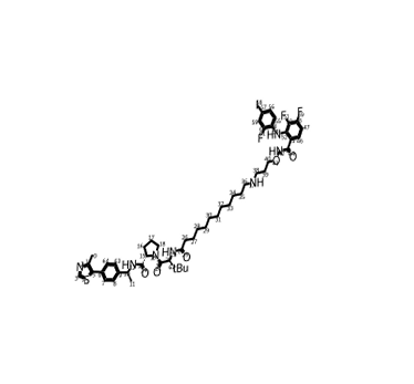 Cc1ncsc1-c1ccc([C@H](C)NC(=O)[C@@H]2CCCN2C(=O)[C@@H](NC(=O)CCCCCCCCCCCNCCCONC(=O)c2ccc(F)c(F)c2Nc2ccc(I)cc2F)C(C)(C)C)cc1